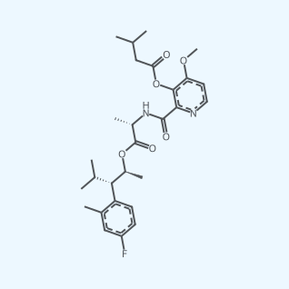 COc1ccnc(C(=O)N[C@@H](C)C(=O)O[C@@H](C)[C@H](c2ccc(F)cc2C)C(C)C)c1OC(=O)CC(C)C